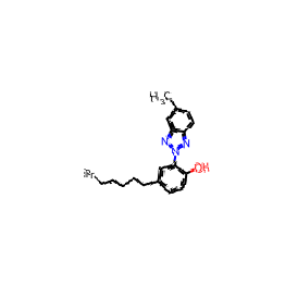 Cc1ccc2nn(-c3cc(CCCCCC(C)C)ccc3O)nc2c1